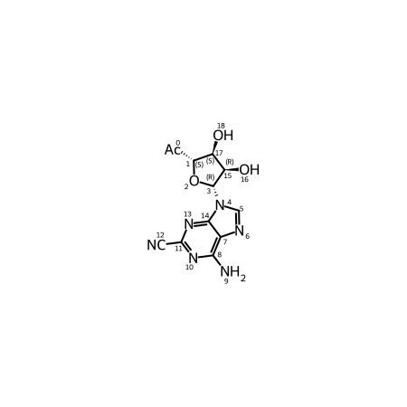 CC(=O)[C@H]1O[C@@H](n2cnc3c(N)nc(C#N)nc32)[C@H](O)[C@@H]1O